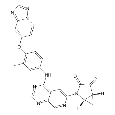 C=C1C(=O)N(c2cc3c(Nc4ccc(Oc5ccn6ncnc6c5)c(C)c4)ncnc3cn2)[C@H]2C[C@@H]12